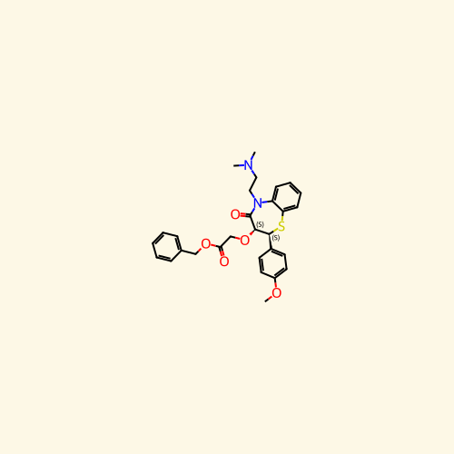 COc1ccc([C@@H]2Sc3ccccc3N(CCN(C)C)C(=O)[C@@H]2OCC(=O)OCc2ccccc2)cc1